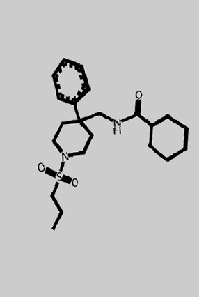 CCCS(=O)(=O)N1CCC(CNC(=O)C2CCCCC2)(c2ccccc2)CC1